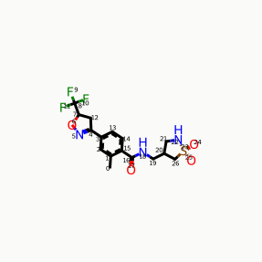 Cc1cc(C2=NOC(C(F)(F)F)C2)ccc1C(=O)NCC1CNS(=O)(=O)C1